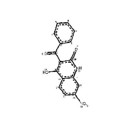 O=C(c1ccccc1)c1c(O)c2ccc([N+](=O)[O-])cc2[nH]c1=O